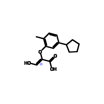 Cc1ccc(C2CCCC2)cc1O/C(=C\O)C(=O)O